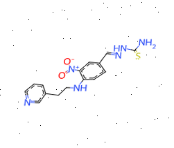 NC(=S)NN=Cc1ccc(NCCc2cccnc2)c([N+](=O)[O-])c1